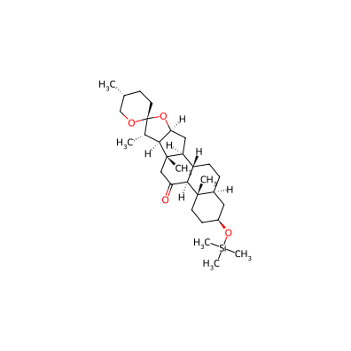 C[C@@H]1CC[C@@]2(OC1)O[C@H]1C[C@H]3[C@@H]4CC[C@H]5C[C@@H](O[Si](C)(C)C)CC[C@]5(C)[C@H]4C(=O)C[C@]3(C)[C@H]1[C@@H]2C